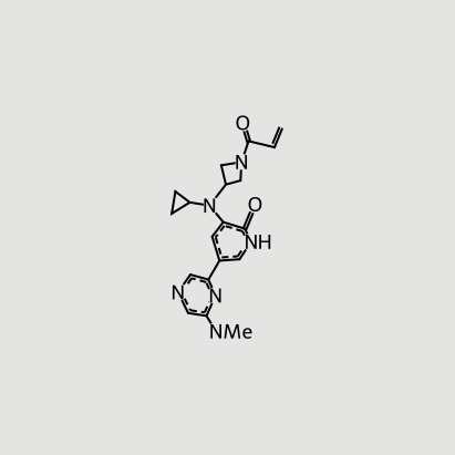 C=CC(=O)N1CC(N(c2cc(-c3cncc(NC)n3)c[nH]c2=O)C2CC2)C1